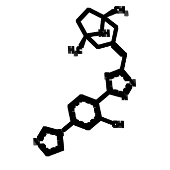 C[C@]12CC[C@](C)(C/C(=C/c3nnc(-c4ccc(-n5ccnc5)cc4O)s3)C1)N2